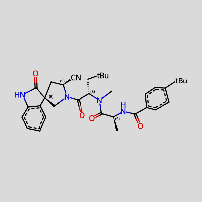 C[C@H](NC(=O)c1ccc(C(C)(C)C)cc1)C(=O)N(C)[C@@H](CC(C)(C)C)C(=O)N1C[C@]2(C[C@H]1C#N)C(=O)Nc1ccccc12